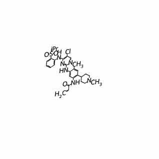 C=CC(=O)Nc1cc(Nc2ncc(Cl)c(Nc3ccccc3S(=O)(=O)C(C)C)n2)c(C)cc1C1CCN(C)CC1